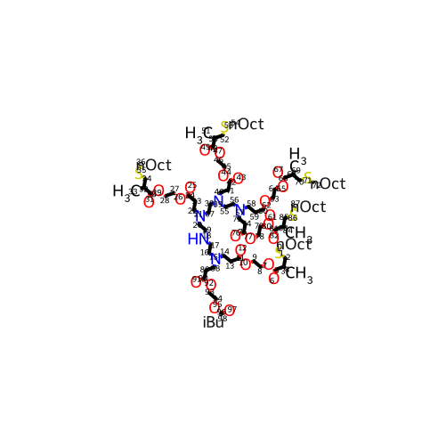 CCCCCCCCSCC(C)C(=O)OCCOC(=O)CCN(CCNCCN(CCC(=O)OCCOC(=O)C(C)CSCCCCCCCC)CCN(CCC(=O)OCCOC(=O)C(C)CSCCCCCCCC)CCN(CCC(=O)OCCOC(=O)C(C)CSCCCCCCCC)CCC(=O)OCCOC(=O)C(C)CSCCCCCCCC)CCC(=O)OCCOC(=O)C(C)CC